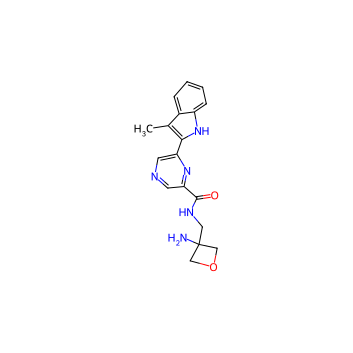 Cc1c(-c2cncc(C(=O)NCC3(N)COC3)n2)[nH]c2ccccc12